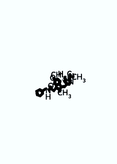 COc1ccc2c(c1)C(CC(=O)NCC1=CC=CCC1)=C(C)/C2=C/c1cnc(N(C)C)nc1